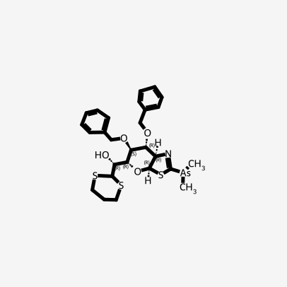 C[As](C)C1=N[C@@H]2[C@@H](OCc3ccccc3)[C@H](OCc3ccccc3)[C@@H]([C@@H](O)C3SCCCS3)O[C@@H]2S1